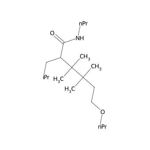 CCCNC(=O)C(CC(C)C)C(C)(C)C(C)(C)CCOCCC